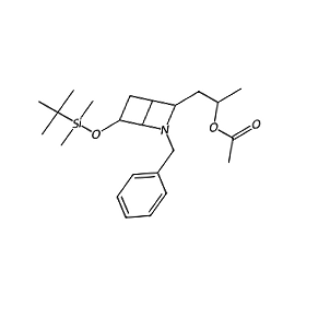 CC(=O)OC(C)CC1C2CC(O[Si](C)(C)C(C)(C)C)C2N1Cc1ccccc1